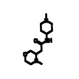 CN1CCC(NC(=O)CC2COCCN2C)CC1